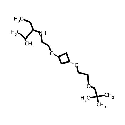 CCC(NCCO[C@H]1C[C@H](OCCOCC(C)(C)C)C1)C(C)C